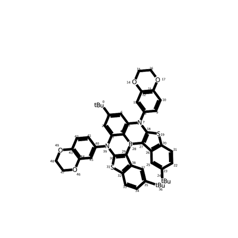 CC(C)(C)c1cc2c3c(c1)N(c1ccc4c(c1)OCCO4)c1sc4ccc(C(C)(C)C)cc4c1B3c1c(sc3ccc(C(C)(C)C)cc13)N2c1ccc2c(c1)OCCO2